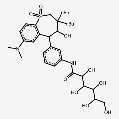 CCCCC1(CCCC)CS(=O)(=O)c2ccc(N(C)C)cc2C(c2cccc(NC(=O)C(O)C(O)C(O)C(O)CO)c2)C1O